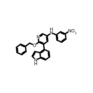 O=[N+]([O-])c1cccc(Nc2cnc(OCc3ccccc3)c(-c3cccc4[nH]ccc34)c2)c1